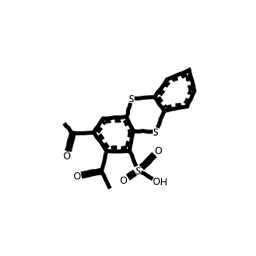 CC(=O)c1cc2c(c(S(=O)(=O)O)c1C(C)=O)Sc1ccccc1S2